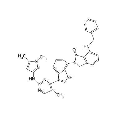 Cc1cnc(Nc2cc(C)n(C)n2)nc1-c1c[nH]c2c(N3Cc4cccc(NCc5ccccc5)c4C3=O)cccc12